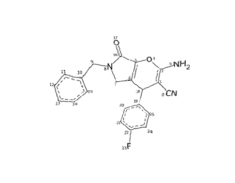 N#CC1=C(N)OC2=C(CN(Cc3ccccc3)C2=O)C1c1ccc(F)cc1